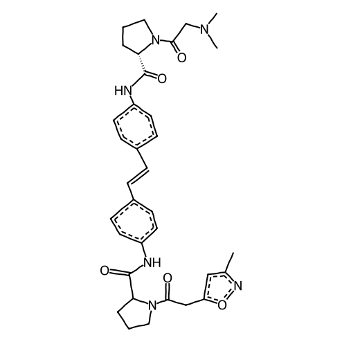 Cc1cc(CC(=O)N2CCCC2C(=O)Nc2ccc(/C=C/c3ccc(NC(=O)[C@@H]4CCCN4C(=O)CN(C)C)cc3)cc2)on1